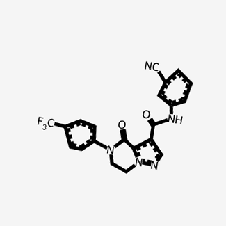 N#Cc1cccc(NC(=O)c2cnn3c2C(=O)N(c2ccc(C(F)(F)F)cc2)CC3)c1